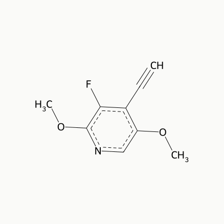 C#Cc1c(OC)cnc(OC)c1F